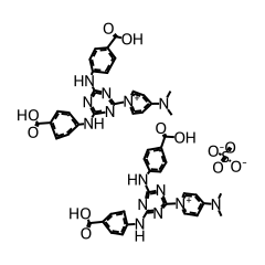 CN(C)c1cc[n+](-c2nc(Nc3ccc(C(=O)O)cc3)nc(Nc3ccc(C(=O)O)cc3)n2)cc1.CN(C)c1cc[n+](-c2nc(Nc3ccc(C(=O)O)cc3)nc(Nc3ccc(C(=O)O)cc3)n2)cc1.O=S(=O)([O-])[O-]